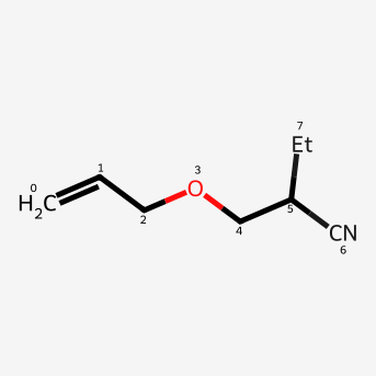 C=CCOCC(C#N)CC